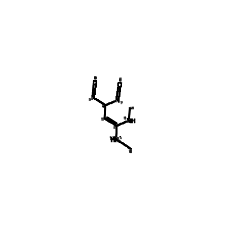 CNC(=CC(N=O)N=O)NC